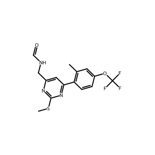 CSc1nc(CNC=O)cc(-c2ccc(OC(F)(F)F)cc2C)n1